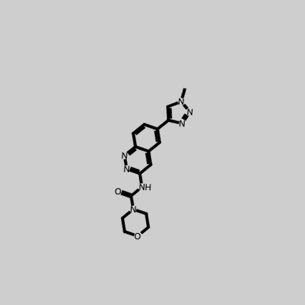 Cn1cc(-c2ccc3nnc(NC(=O)N4CCOCC4)cc3c2)nn1